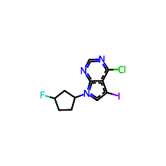 FC1CCC(n2cc(I)c3c(Cl)ncnc32)C1